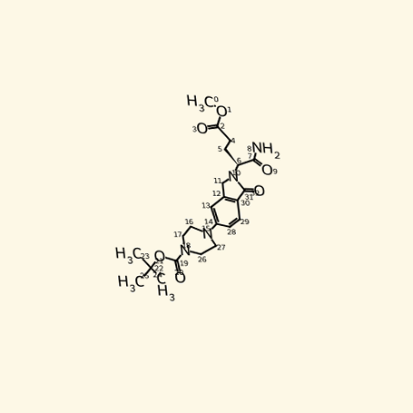 COC(=O)CC[C@@H](C(N)=O)N1Cc2cc(N3CCN(C(=O)OC(C)(C)C)CC3)ccc2C1=O